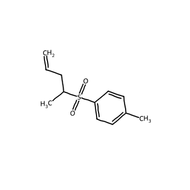 C=CCC(C)S(=O)(=O)c1ccc(C)cc1